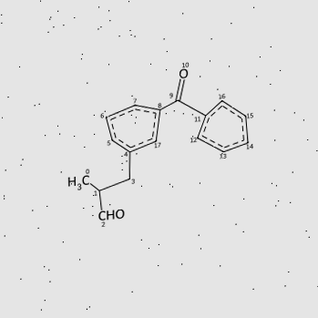 CC(C=O)Cc1cccc(C(=O)c2ccccc2)c1